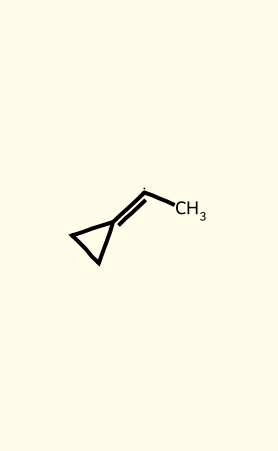 C[C]=C1CC1